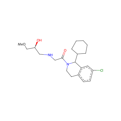 COC[C@@H](O)CNCC(=O)N1CCc2ccc(Cl)cc2C1C1CCCCC1